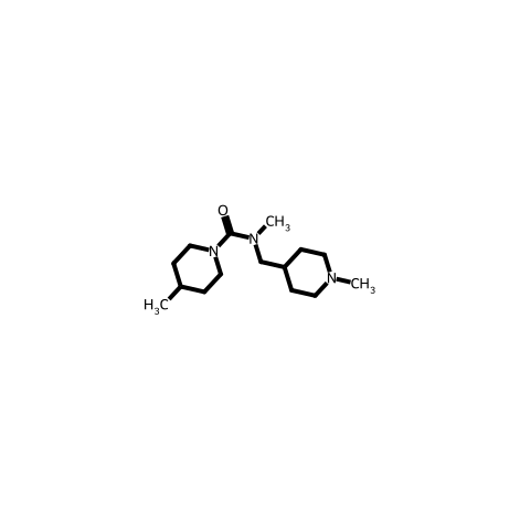 CC1CCN(C(=O)N(C)CC2CCN(C)CC2)CC1